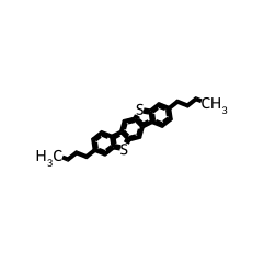 CCCCc1ccc2c(c1)sc1cc3c(cc12)sc1cc(CCCC)ccc13